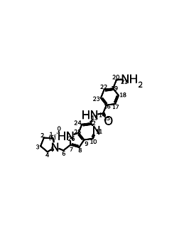 C[C@H]1CCCN1Cc1cc2cnc(NC(=O)c3ccc(CN)cc3)cc2[nH]1